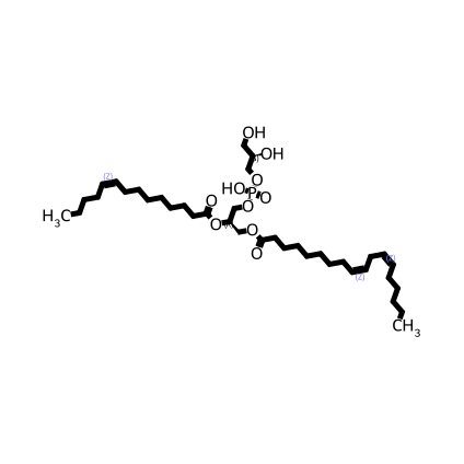 CCCC/C=C\CCCCCCCC(=O)O[C@H](COC(=O)CCCCCCC/C=C\C/C=C\CCCCC)COP(=O)(O)OC[C@@H](O)CO